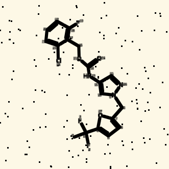 CC(F)(F)c1ccc(Cn2cc(NC(=O)OCc3c(F)cccc3Cl)cn2)o1